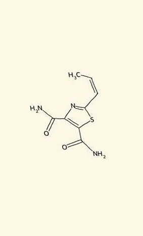 C/C=C\c1nc(C(N)=O)c(C(N)=O)s1